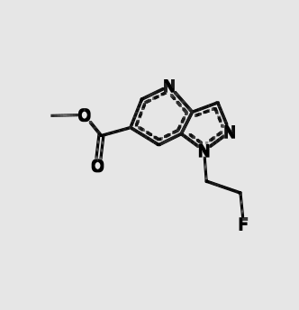 COC(=O)c1cnc2cnn(CCF)c2c1